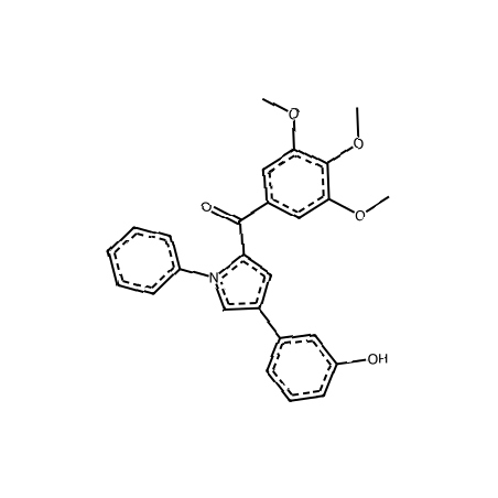 COc1cc(C(=O)c2cc(-c3cccc(O)c3)cn2-c2ccccc2)cc(OC)c1OC